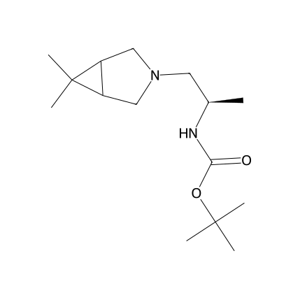 C[C@H](CN1CC2C(C1)C2(C)C)NC(=O)OC(C)(C)C